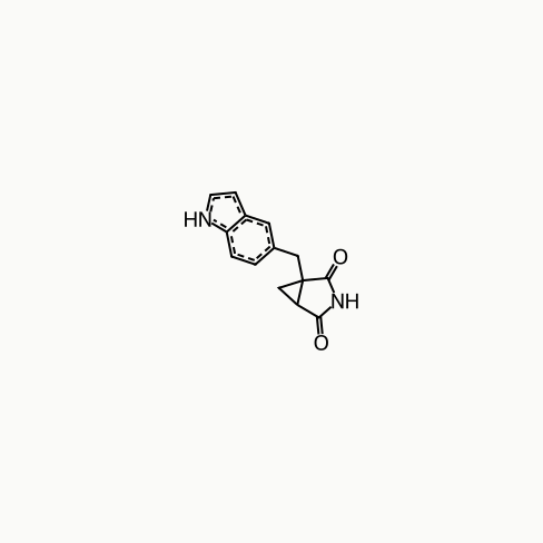 O=C1NC(=O)C2(Cc3ccc4[nH]ccc4c3)CC12